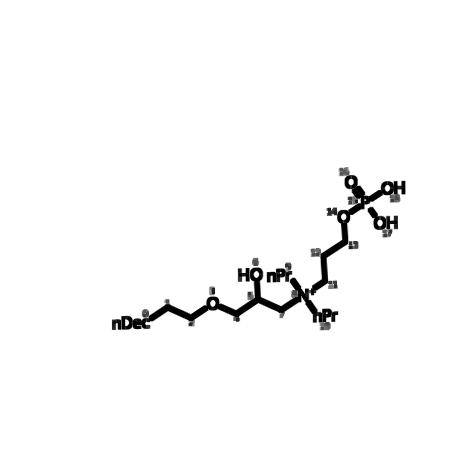 CCCCCCCCCCCCOCC(O)C[N+](CCC)(CCC)CCCOP(=O)(O)O